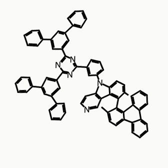 Cc1ccc2c3ccccc3c3ccccc3c2c1-c1c(C)ccc2c1c1cnccc1n2-c1cccc(-c2nc(-c3cc(-c4ccccc4)cc(-c4ccccc4)c3)nc(-c3cc(-c4ccccc4)cc(-c4ccccc4)c3)n2)c1